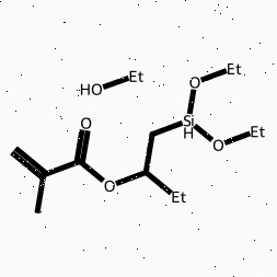 C=C(C)C(=O)OC(CC)C[SiH](OCC)OCC.CCO